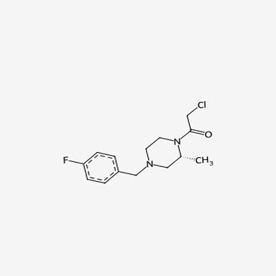 C[C@@H]1CN(Cc2ccc(F)cc2)CCN1C(=O)CCl